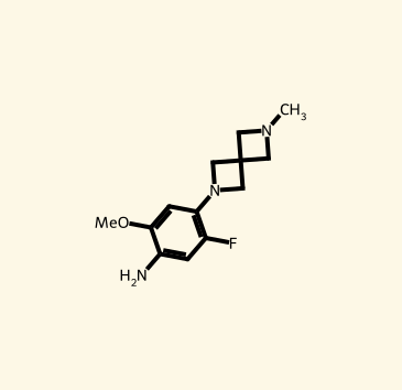 COc1cc(N2CC3(CN(C)C3)C2)c(F)cc1N